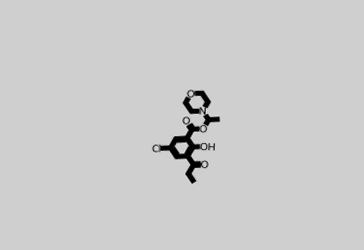 CCC(=O)c1cc(Cl)cc(C(=O)OC(C)N2CCOCC2)c1O